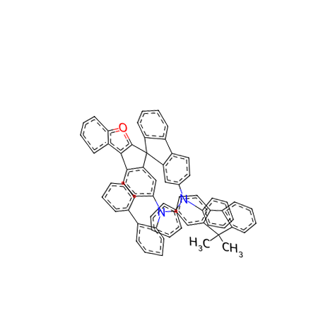 CC1(C)c2ccccc2-c2ccc(N(c3ccc4c(c3)C3(c5ccccc5-c5ccc(N(c6ccccc6)c6ccccc6)cc53)c3oc5ccccc5c3-4)c3ccccc3-c3ccccc3)cc21